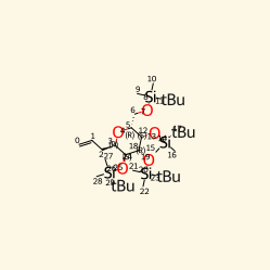 C=CC[C@H]1O[C@H](CO[Si](C)(C)C(C)(C)C)[C@H](O[Si](C)(C)C(C)(C)C)[C@H](O[Si](C)(C)C(C)(C)C)[C@H]1O[Si](C)(C)C(C)(C)C